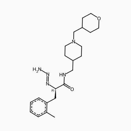 Cc1ccccc1C[C@@H](N=NN)C(=O)NCC1CCN(CC2CCOCC2)CC1